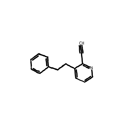 C#Cc1ncccc1CCc1ccccc1